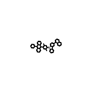 Cc1cc(-n2c3ccccc3c3cc(-c4cccc5ccccc45)ccc32)c(C)cc1-c1c2ccccc2c(-c2ccccc2)c2ccccc12